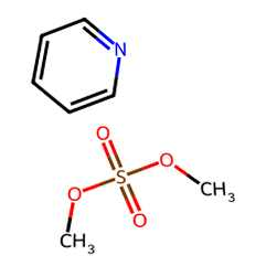 COS(=O)(=O)OC.c1ccncc1